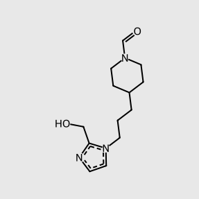 O=CN1CCC(CCCn2ccnc2CO)CC1